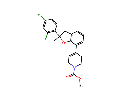 CC(C)(C)OC(=O)N1CC=C(c2cccc3c2OC(C)(c2ccc(Cl)cc2F)C3)CC1